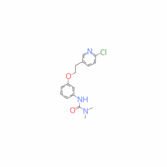 CN(C)C(=O)Nc1cccc(OCCc2ccc(Cl)nc2)c1